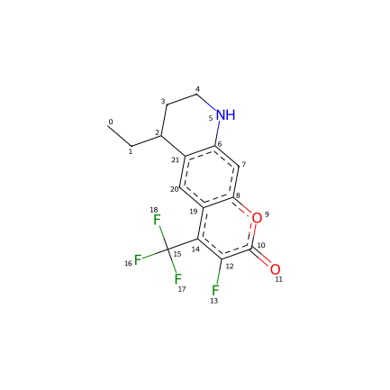 CCC1CCNc2cc3oc(=O)c(F)c(C(F)(F)F)c3cc21